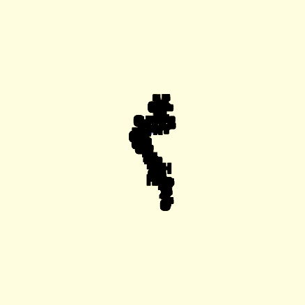 CC1=C(/C=C2/c3nc4ccccc4c(CCN(C(C)C)[S+](C)[O-])c3CN2C=O)C(OC(=O)OCc2ccc(NC(=O)CNC(=O)COCC=O)cc2)C(=O)OC1